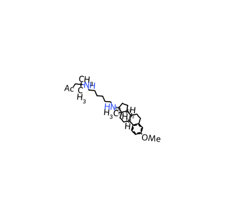 COc1ccc2c(c1)CC[C@@H]1[C@@H]2CC[C@]2(C)[C@@H](NCCCCCCNC(C)(C)CC(C)=O)CC[C@@H]12